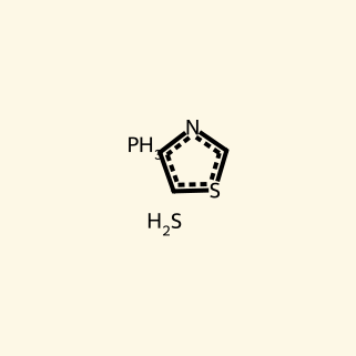 P.S.c1cscn1